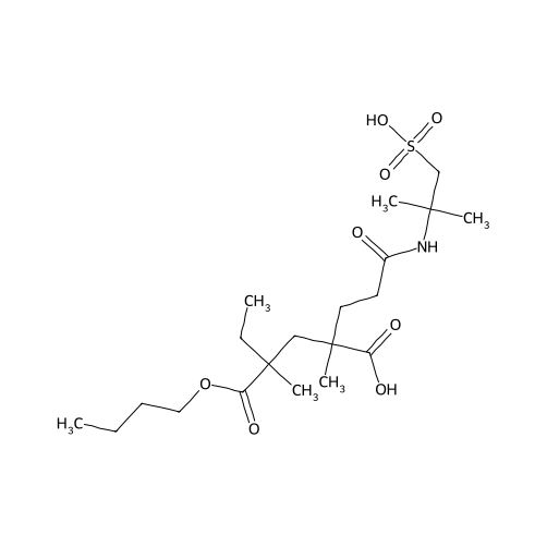 CCCCOC(=O)C(C)(CC)CC(C)(CCC(=O)NC(C)(C)CS(=O)(=O)O)C(=O)O